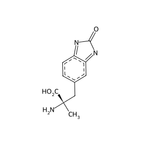 C[C@](N)(Cc1ccc2c(c1)=NC(=O)N=2)C(=O)O